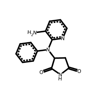 Nc1cccnc1N(c1ccccc1)C1CC(=O)NC1=O